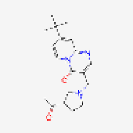 CC(=O)[C@H]1CCN(Cc2cnc3cc(C(C)(C)C)ccn3c2=O)C1